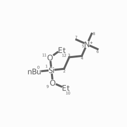 CCCC[Si](CCC[N+](C)(C)C)(OCC)OCC